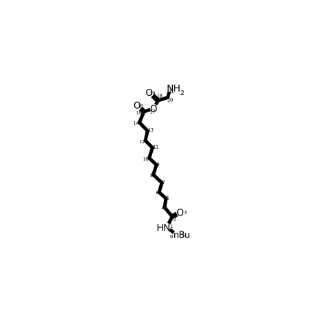 CCCCNC(=O)CCCCCCCCCCCC(=O)OC(=O)CN